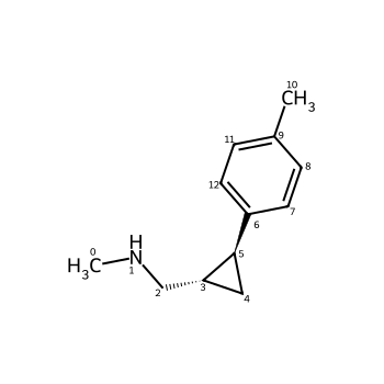 CNC[C@H]1C[C@@H]1c1ccc(C)cc1